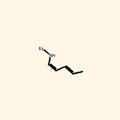 CC=C/C=C\NCC